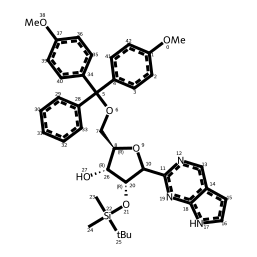 COc1ccc(C(OC[C@H]2OC(c3ncc4cc[nH]c4n3)[C@H](O[Si](C)(C)C(C)(C)C)[C@@H]2O)(c2ccccc2)c2ccc(OC)cc2)cc1